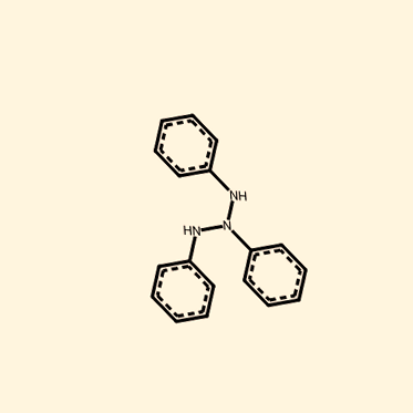 c1ccc(NN(Nc2ccccc2)c2ccccc2)cc1